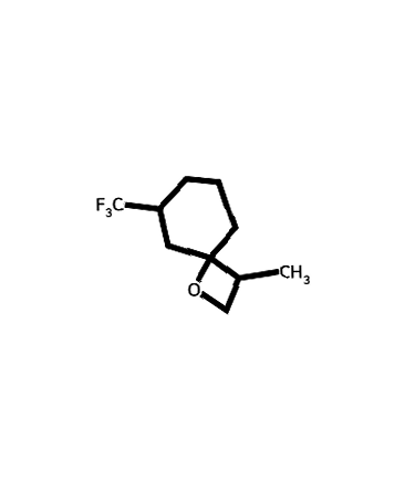 CC1COC12CCCC(C(F)(F)F)C2